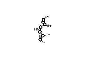 CC(C)c1ccc2sc3c(-c4ccc5[nH]c6ccc(-c7cc(C(C)C)cc8c7sc7ccc(C(C)C)cc78)cc6c5c4)cc(C(C)C)cc3c2c1